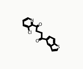 O=C(CCC(=O)c1ncccc1Cl)c1ccc2sccc2c1